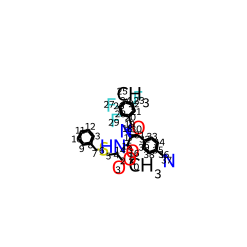 COC(=O)C(CSCc1ccccc1)NC(=O)c1nc(-c2cc(F)c(C)c(F)c2F)oc1-c1ccc(C#N)cc1